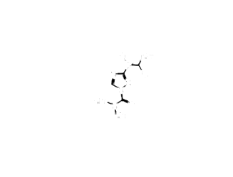 CCCC(Cl)[S+]([O-])c1ncn(C(=O)N(CCC)CCC)n1